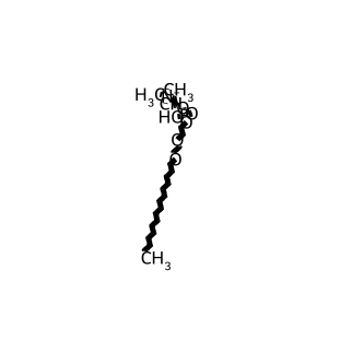 CCCCCCCCCCCCCCCCOCCOCCOP(=O)(O)OCC[N+](C)(C)C